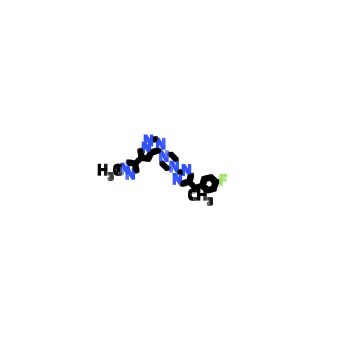 C[C@H](c1ccc(F)cc1)c1cnc(N2CCN(c3ncnn4cc(-c5cnn(C)c5)cc34)CC2)nc1